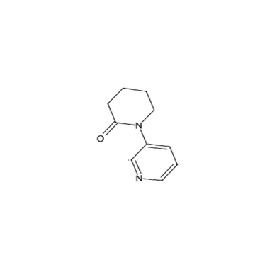 O=C1CCCCN1c1[c]nccc1